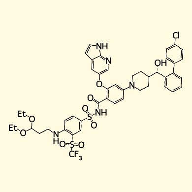 CCOC(CCNc1ccc(S(=O)(=O)NC(=O)c2ccc(N3CCC([C@H](O)c4ccccc4-c4ccc(Cl)cc4)CC3)cc2Oc2cnc3[nH]ccc3c2)cc1S(=O)(=O)C(F)(F)F)OCC